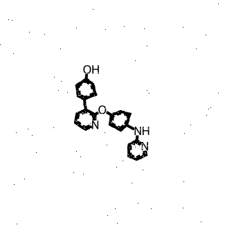 Oc1ccc(-c2cccnc2Oc2ccc(Nc3ccccn3)cc2)cc1